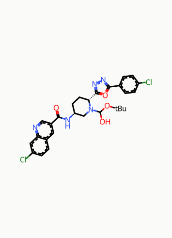 CC(C)(C)OC(O)N1C[C@@H](NC(=O)c2cnc3cc(Cl)ccc3c2)CC[C@@H]1c1nnc(-c2ccc(Cl)cc2)o1